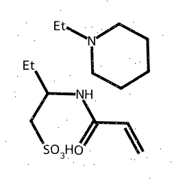 C=CC(=O)NC(CC)CS(=O)(=O)O.CCN1CCCCC1